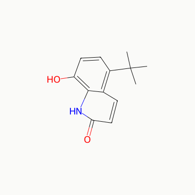 CC(C)(C)c1ccc(O)c2[nH]c(=O)ccc12